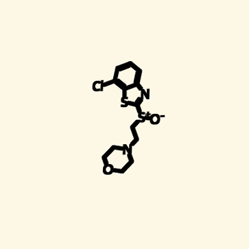 [O-][S+](CCN1CCOCC1)c1nc2cccc(Cl)c2s1